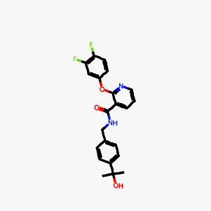 CC(C)(O)c1ccc(CNC(=O)c2cccnc2Oc2ccc(F)c(F)c2)cc1